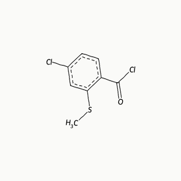 CSc1cc(Cl)ccc1C(=O)Cl